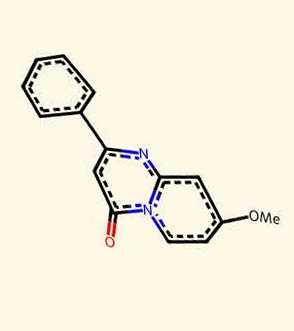 COc1ccn2c(=O)cc(-c3ccccc3)nc2c1